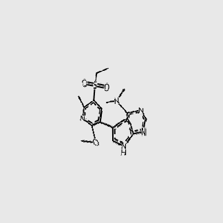 CCS(=O)(=O)c1cc(-c2c[nH]c3ncnc(N(C)C)c23)c(OC)nc1C